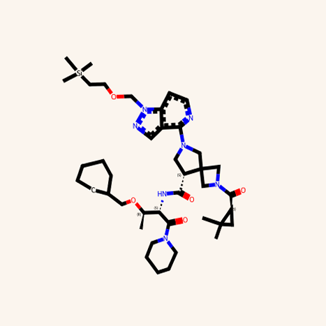 C[C@@H](OCC1CCCCC1)[C@H](NC(=O)[C@@H]1CN(c2nccc3c2cnn3COCC[Si](C)(C)C)CC12CN(C(=O)[C@H]1CC1(C)C)C2)C(=O)N1CCCCC1